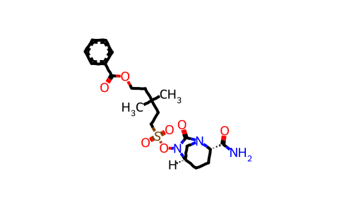 CC(C)(CCOC(=O)c1ccccc1)CCS(=O)(=O)ON1C(=O)N2C[C@H]1CC[C@H]2C(N)=O